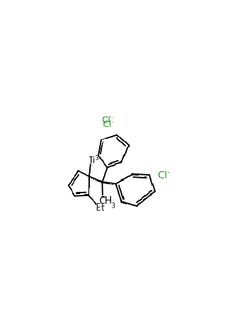 CCC1=CC=C[C]1([Ti+3])C(C)(c1ccccc1)c1ccccc1.[Cl-].[Cl-].[Cl-]